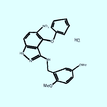 COc1ccc(OC)c(CNc2n[nH]c3ccc([N+](=O)[O-])c(Oc4ccccc4)c23)c1.Cl